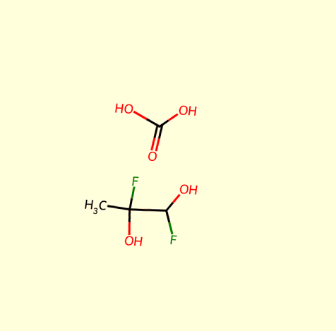 CC(O)(F)C(O)F.O=C(O)O